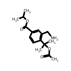 CC(=O)OC(C)(C)c1ccc(C(=O)OC(C)C)cc1CN